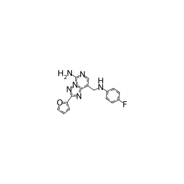 Nc1ncc(CNc2ccc(F)cc2)c2nc(-c3ccco3)nn12